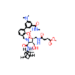 CNC(=O)c1cc(-c2cccc(CN3O[C@@H](CNC(=O)CCC(=O)OC)[C@@H]([C@H](C)O)[C@H]3C(=O)N[C@H]3C[C@H]4C[C@@H]([C@@H]3C)C4(C)C)c2OC)cc(N(C)C)c1